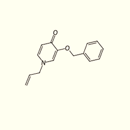 C=CCn1ccc(=O)c(OCc2ccccc2)c1